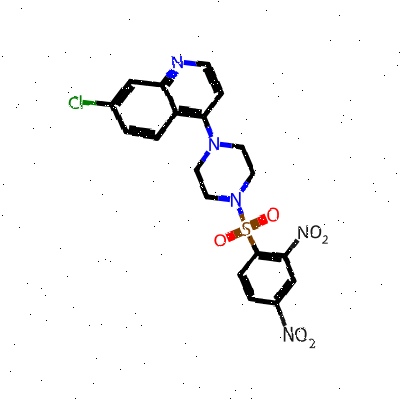 O=[N+]([O-])c1ccc(S(=O)(=O)N2CCN(c3ccnc4cc(Cl)ccc34)CC2)c([N+](=O)[O-])c1